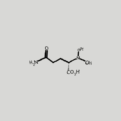 CCCN(O)[C@@H](CCC(N)=O)C(=O)O